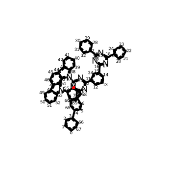 c1ccc(-c2ccc(-c3nc(-c4cccc(-c5nc(-c6ccccc6)nc(-c6ccccc6)n5)c4)nc(-n4c5ccccc5c5ccc6c7ccccc7n(-c7ccccc7)c6c54)n3)cc2)cc1